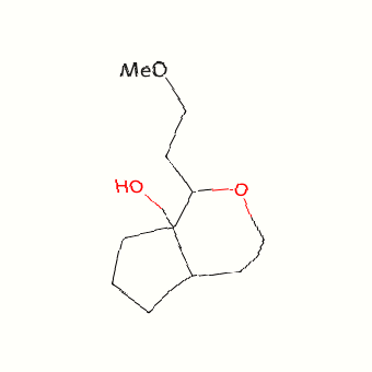 COCCC1OCCC2CCCC21O